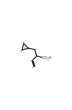 C=CC(CC1CC1)C(=O)O